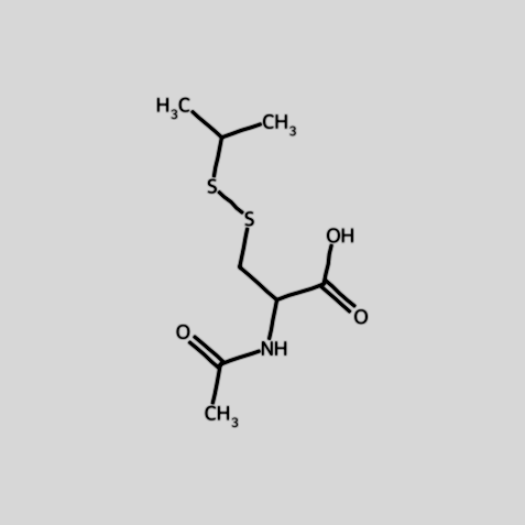 CC(=O)NC(CSSC(C)C)C(=O)O